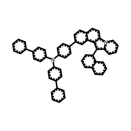 c1ccc(-c2ccc(N(c3ccc(-c4ccccc4)cc3)c3ccc(-c4ccc5ccc6c(c(-c7cccc8ccccc78)c7ccccn76)c5c4)cc3)cc2)cc1